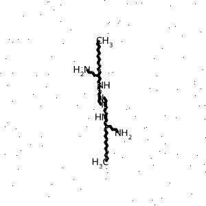 CCCCCCCCCCCC(CCCN)CCNCCCN1CCN(CCCNCCC(CCCN)CCCCCCCCCCC)CC1